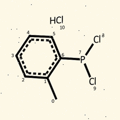 Cc1ccccc1P(Cl)Cl.Cl